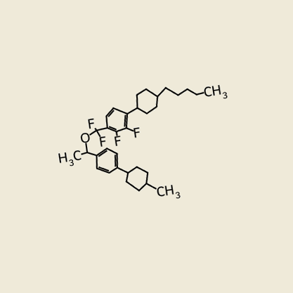 CCCCCC1CCC(c2ccc(C(F)(F)OC(C)c3ccc(C4CCC(C)CC4)cc3)c(F)c2F)CC1